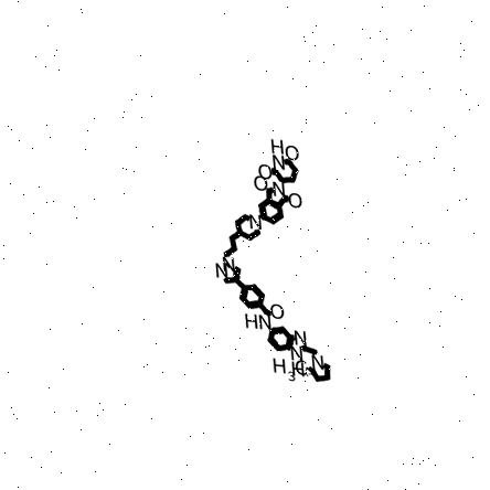 C[C@H]1CCCN1Cc1nc2cc(NC(=O)c3ccc(-c4cnn(CCCC5CCN(c6ccc7c(c6)C(=O)N(C6CCC(=O)NC6=O)C7=O)CC5)c4)cc3)ccc2[nH]1